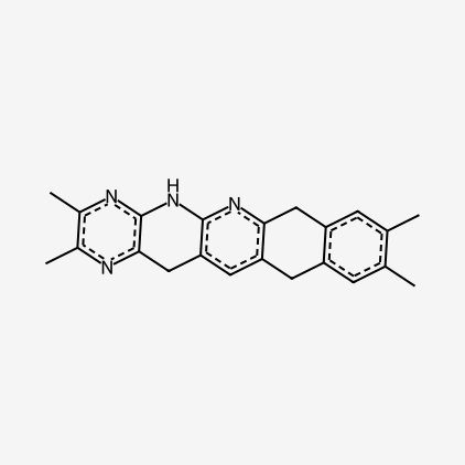 Cc1cc2c(cc1C)Cc1nc3c(cc1C2)Cc1nc(C)c(C)nc1N3